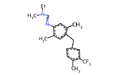 CCN(C)C=Nc1cc(C)c(Cc2ccc(C)c(C(F)(F)F)c2)cc1C